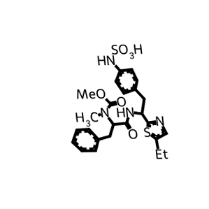 CCc1cnc(C(Cc2ccc(NS(=O)(=O)O)cc2)NC(=O)C(Cc2ccccc2)N(C)C(=O)OC)s1